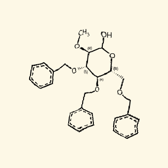 CO[C@H]1C(O)O[C@H](COCc2ccccc2)[C@@H](OCc2ccccc2)[C@@H]1OCc1ccccc1